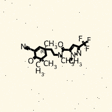 CN(CC[C@]1(C)C=C(C#N)C(=O)C(C)(C)C1)C(=O)c1cc(C(F)(F)F)nn1C